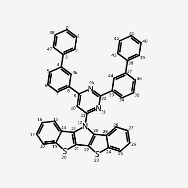 c1ccc(-c2cccc(-c3cc(-n4c5c6ccccc6sc5c5sc6ccccc6c54)nc(-c4cccc(-c5ccccc5)c4)n3)c2)cc1